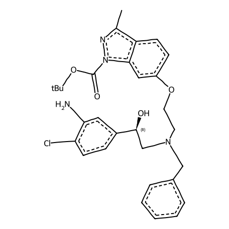 Cc1nn(C(=O)OC(C)(C)C)c2cc(OCCN(Cc3ccccc3)C[C@H](O)c3ccc(Cl)c(N)c3)ccc12